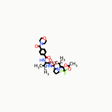 CC(=O)O/C(=C(\C(C)C)N1CCC[C@H]1C(=O)NC(=O)[C@@H](NC(=O)c1ccc(C(=O)N2CCOCC2)cc1)C(C)C)C(F)(F)F